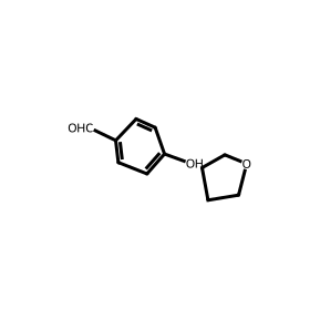 C1CCOC1.O=Cc1ccc(O)cc1